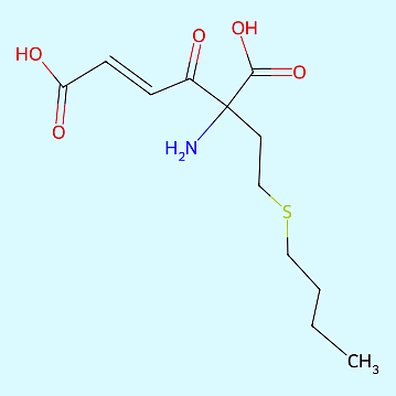 CCCCSCCC(N)(C(=O)O)C(=O)C=CC(=O)O